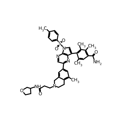 Cc1ccc(S(=O)(=O)n2cc(-c3c(C)cc(C(N)=O)c(C)c3C)c3nc(-c4cc(C)c5c(c4)CN(CCC(=O)NC4CCOC4)CC5)cnc32)cc1